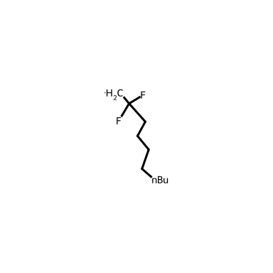 [CH2]C(F)(F)CCCCCCCC